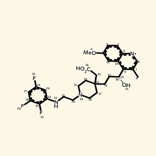 COc1ccc2ncc(C)c([C@H](O)CCC3(CC(=O)O)CCN(CCNc4cc(F)cc(F)c4F)CC3)c2c1